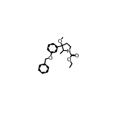 CCOC(=O)N1CCC(OC)(c2cccc(OCc3ccccc3)c2)C1C